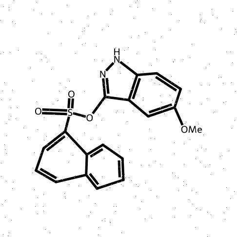 COc1ccc2[nH]nc(OS(=O)(=O)c3cccc4ccccc34)c2c1